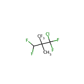 CC(C(F)F)(C(F)(F)F)C(F)(F)Cl